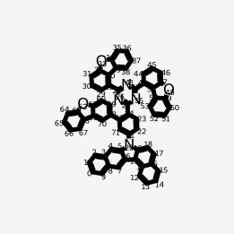 c1ccc2cc3c(cc2c1)c1c2ccccc2ccc1n3-c1ccc(-c2nc(-c3cccc4oc5ccccc5c34)nc(-c3cccc4oc5ccccc5c34)n2)c(-c2ccc3oc4ccccc4c3c2)c1